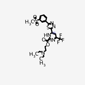 CCN(CC)CCOC(=O)CN/C(=C\C(=N)C(F)(F)F)c1nnc(-c2cccc(S(C)(=O)=O)c2)s1